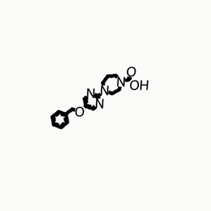 O=C(O)N1CCCN(c2ncc(OCc3ccccc3)cn2)CC1